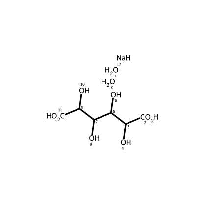 O.O.O=C(O)C(O)C(O)C(O)C(O)C(=O)O.[NaH]